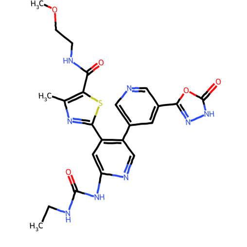 CCNC(=O)Nc1cc(-c2nc(C)c(C(=O)NCCOC)s2)c(-c2cncc(-c3n[nH]c(=O)o3)c2)cn1